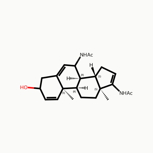 CC(=O)NC1=CC[C@H]2[C@@H]3C(NC(C)=O)C=C4CC(O)C=C[C@]4(C)[C@@H]3CC[C@]12C